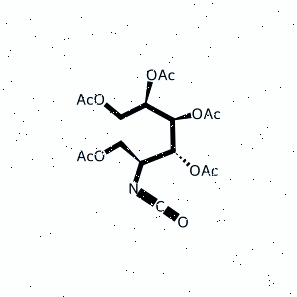 CC(=O)OC[C@H](N=C=O)[C@@H](OC(C)=O)[C@H](OC(C)=O)[C@@H](COC(C)=O)OC(C)=O